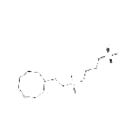 C[N+](C)(CCCCS(=O)(=O)[O-])CCC1CCCCCCC1